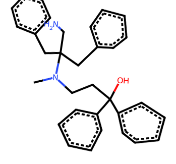 CN(CCC(O)(c1ccccc1)c1ccccc1)C(CN)(Cc1ccccc1)Cc1ccccc1